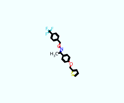 C/C(=N\OCc1ccc(C(F)(F)F)cc1)c1ccc(OCc2cccs2)cc1